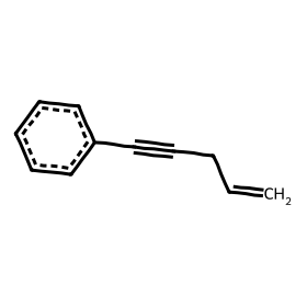 C=CCC#Cc1ccccc1